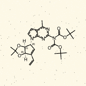 C=CC1=C[C@@H](n2ccc3c(C)nc(N(C(=O)OC(C)(C)C)C(=O)OC(C)(C)C)nc32)[C@@H]2OC(C)(C)O[C@H]12